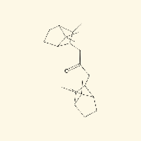 CC1C(CC(=O)CC2C(C)C3CCC2C3(C)C)C2CCC1C2(C)C